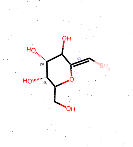 B/C=C1\OC(CO)[C@H](O)[C@H](O)C1O